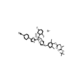 Cc1cc(C[n+]2cnn(C[C@](O)(c3cc(F)ccc3F)[C@@H](C)c3nc(-c4ccc(C#N)cc4)cs3)c2)cc(C)c1OC(=O)CN(C)C(=O)OC(C)(C)C.[Br-]